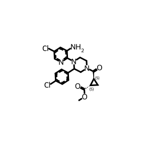 COC(=O)[C@H]1C[C@@H]1C(=O)N1CCN(c2ncc(Cl)cc2N)C(c2ccc(Cl)cc2)C1